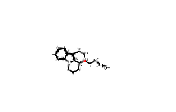 O=C=NCCC12CCCn3c1c(c1ccccc13)CCO2